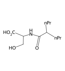 CCCC(CCC)C(=O)NC(CO)C(=O)O